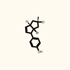 C[C@]1(Cl)C[C@H]2C=CC(c3ccc(O)cc3)C2(Br)C1